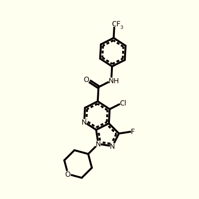 O=C(Nc1ccc(C(F)(F)F)cc1)c1cnc2c(c(F)nn2C2CCOCC2)c1Cl